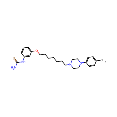 Cc1ccc(N2CCN(CCCCCCCOc3cccc(NC(N)=S)c3)CC2)cc1